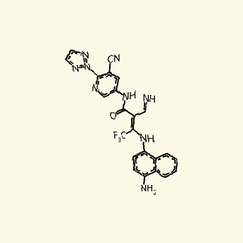 N#Cc1cc(NC(=O)/C(C=N)=C(/Nc2ccc(N)c3ccccc23)C(F)(F)F)cnc1-n1nccn1